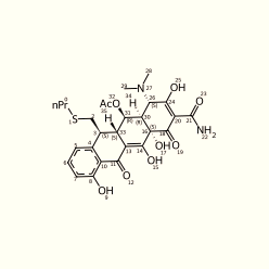 CCCSC[C@@H]1c2cccc(O)c2C(=O)C2=C(O)[C@]3(O)C(=O)C(C(N)=O)=C(O)[C@@H](N(C)C)[C@@H]3[C@H](OC(C)=O)[C@H]21